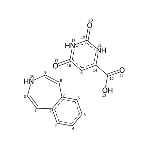 C1=Cc2ccccc2C=CN1.O=C(O)c1cc(=O)[nH]c(=O)[nH]1